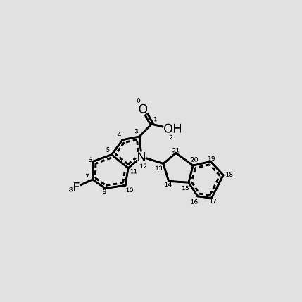 O=C(O)c1cc2cc(F)ccc2n1C1Cc2ccccc2C1